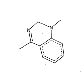 [CH2]N1CN=C(C)c2ccccc21